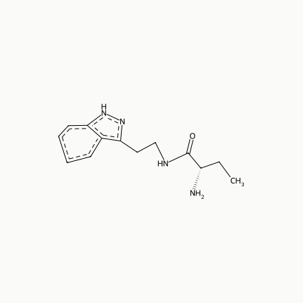 CC[C@H](N)C(=O)NCCc1n[nH]c2ccccc12